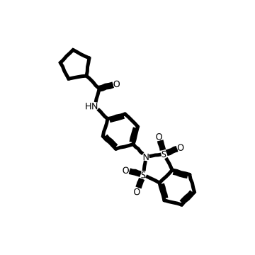 O=C(Nc1ccc(N2S(=O)(=O)c3ccccc3S2(=O)=O)cc1)C1CCCC1